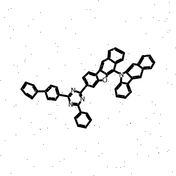 c1ccc(-c2ccc(-c3nc(-c4ccccc4)nc(-c4ccc5c(c4)oc4c(-n6c7ccccc7c7cc8ccccc8cc76)c6ccccc6cc45)n3)cc2)cc1